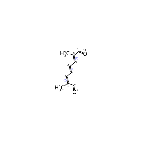 C/C(C=O)=C/C=C/C=C(\C)C=O